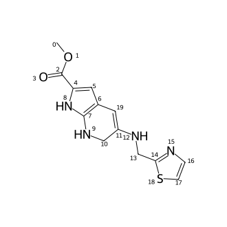 COC(=O)c1cc2c([nH]1)NCC(NCc1nccs1)=C2